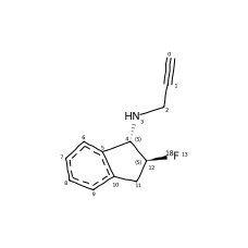 C#CCN[C@H]1c2ccccc2C[C@@H]1[18F]